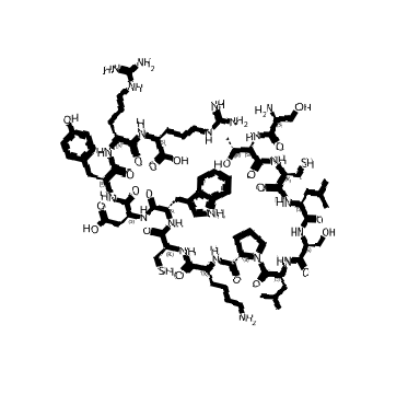 CC(C)C[C@H](NC(=O)[C@H](CS)NC(=O)[C@@H](NC(=O)[C@@H](N)CO)[C@@H](C)O)C(=O)N[C@@H](CO)C(=O)N[C@@H](CC(C)C)C(=O)N1CCC[C@H]1C(=O)N[C@@H](CCCCN)C(=O)N[C@@H](CS)C(=O)N[C@@H](Cc1c[nH]c2ccccc12)C(=O)N[C@@H](CC(=O)O)C(=O)N[C@@H](Cc1ccc(O)cc1)C(=O)N[C@@H](CCCNC(=N)N)C(=O)N[C@@H](CCCNC(=N)N)C(=O)O